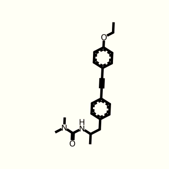 CCOc1ccc(C#Cc2ccc(CC(C)NC(=O)N(C)C)cc2)cc1